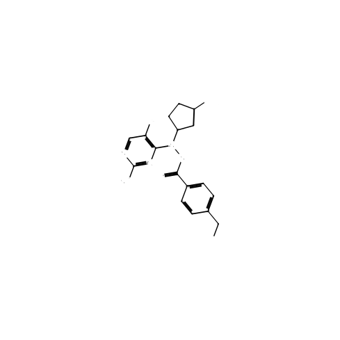 CC1CCC(N(NC(=O)c2ccc(CCl)cc2)c2nc(C#N)ncc2Br)C1